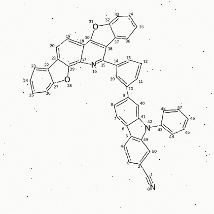 N#Cc1ccc2c3ccc(-c4cccc(-c5nc6c(ccc7c8ccccc8oc76)c6oc7ccccc7c56)c4)cc3n(-c3ccccc3)c2c1